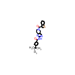 CC(C)(C)c1ccc(C(=O)Nc2ncc3c(n2)CCN(C(=O)c2csc4ccccc24)C3)cc1